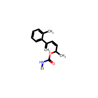 C=C(/C=C\C(C)OC(=O)NCC)c1ccccc1C